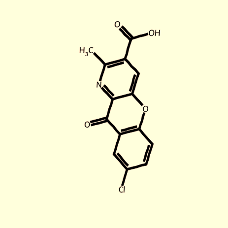 Cc1nc2c(=O)c3cc(Cl)ccc3oc2cc1C(=O)O